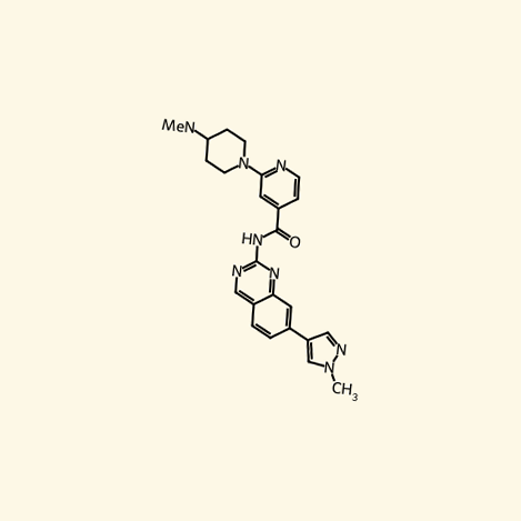 CNC1CCN(c2cc(C(=O)Nc3ncc4ccc(-c5cnn(C)c5)cc4n3)ccn2)CC1